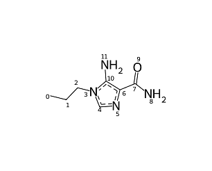 CCCn1cnc(C(N)=O)c1N